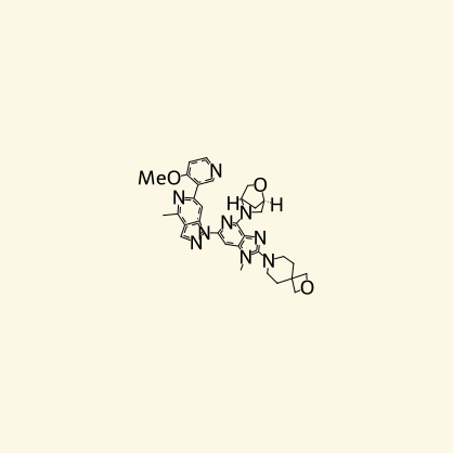 COc1ccncc1-c1cc2c(cnn2-c2cc3c(nc(N4CCC5(CC4)COC5)n3C)c(N3C[C@H]4C[C@@H]3CO4)n2)c(C)n1